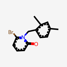 Cc1ccc(Cn2c(Br)cccc2=O)c(C)c1